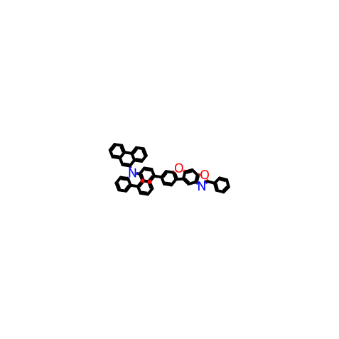 c1ccc(-c2nc3cc4c(cc3o2)oc2cc(-c3ccc(N(c5ccccc5-c5ccccc5)c5cc6ccccc6c6ccccc56)cc3)ccc24)cc1